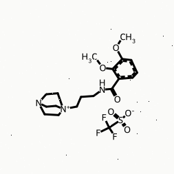 COc1cccc(C(=O)NCCC[N+]23CCN(CC2)CC3)c1OC.O=S(=O)([O-])C(F)(F)F